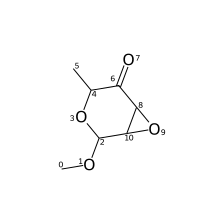 COC1OC(C)C(=O)C2OC12